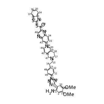 COc1cc(N)c(-c2nnn(-c3ccc(CCN4CCc5c[n+](-c6ccc7nc(C(=O)Sc8nc9ccccc9s8)cnc7c6)ccc5C4)cc3)n2)cc1OC